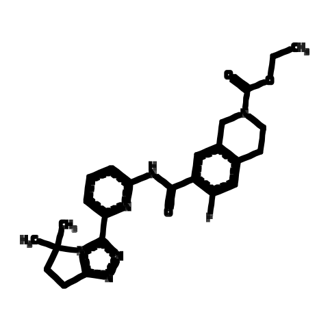 CCOC(=O)N1CCc2cc(F)c(C(=O)Nc3cccc(-c4nnc5n4C(C)(C)CC5)n3)cc2C1